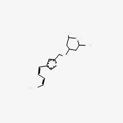 C/C=C\C=C/c1csc(COC2CC(C)NC(CC)C2)c1